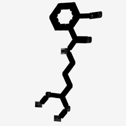 CCOC(CCCNC(=O)c1ccccc1C=O)OCC